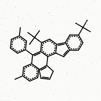 Cc1cccc(C(c2cccc(C)c2)=c2c(C(C)(C)C)cc3c(c2C2=CC=CC2)[C]=c2ccc(C(C)(C)C)cc2=3)c1